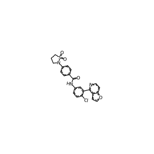 O=C(Nc1ccc(Cl)c(-c2nccc3occc23)c1)c1ccc(N2CCCS2(=O)=O)cc1